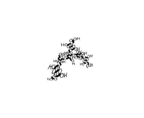 O=C(O)CN(CCN(CC(=O)O)CC(=O)NC(CO)C(O)C(COCC1OC(CO)C(COCC2OC(CO)CC(O)C2NC(=O)CN(CCN(CC(=O)O)CC(=O)O)CC(=O)O)C(O)C1NC(=O)CN(CCN(CC(=O)O)CC(=O)O)CC(=O)O)C(O)CO)CC(=O)O